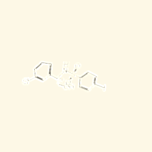 O=S(=O)(N[C@H](CO)c1cccc(Cl)c1)c1ccc(I)cc1